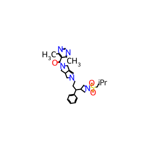 Cc1ncnc(C)c1C(=O)N1CC2=CN(CCC(c3ccccc3)C3CN(S(=O)(=O)CC(C)C)C3)CC2C1